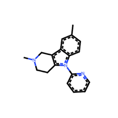 Cc1ccc2c(c1)c1c(n2-c2ccccn2)CCN(C)C1